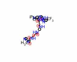 CC(C)N(C)[C@@H]1CC[C@H](N2CC[C@H](Nc3ncnc4ccc(C(F)(F)F)cc34)C2=O)[C@H](NC(=O)CCCC(=O)N[C@H]2CC[C@@H](CNC(=O)CCOCCNC(=O)[C@H]3CC(=O)N(C)[C@@H]3c3cccnc3)CC2)C1